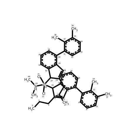 CCCC1=Cc2c(-c3cccc(C)c3C)cccc2[CH]1[Zr]([Cl])([Cl])([CH]1C(CCC)=Cc2c(-c3cccc(C)c3C)cccc21)[SiH](C)C